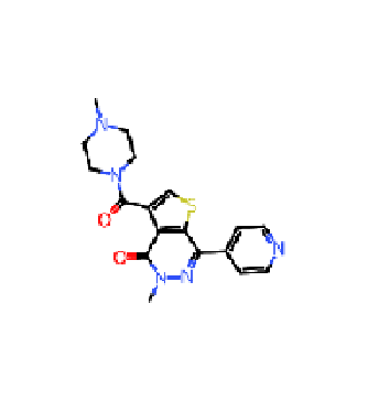 CN1CCN(C(=O)c2csc3c(-c4ccncc4)nn(C)c(=O)c23)CC1